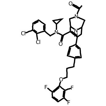 CC(=O)N1CC2CC(c3ccc(CCCOc4c(F)ccc(F)c4F)cc3)=C(C(=O)N(Cc3cccc(Cl)c3Cl)C3CC3)C(C1)N2